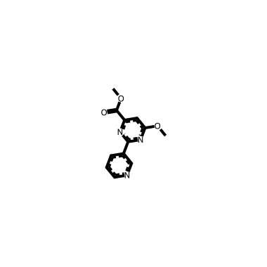 COC(=O)c1cc(OC)nc(-c2cccnc2)n1